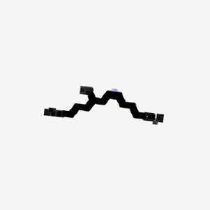 CCCCCCCCCCCCC(O)C/C=C\CCCC(=O)O